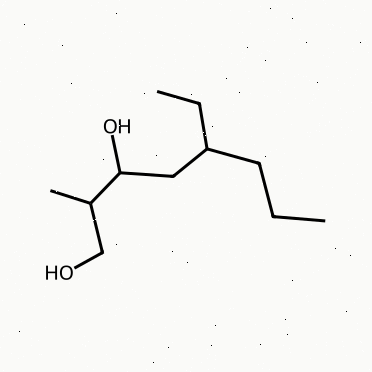 CCCC(CC)CC(O)C(C)CO